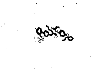 CCCc1nc(CC)n(-c2ccc(OC3(CCC)CCCC3)cc2)c(=O)c1Cc1ccc(-c2ccccc2-c2noc(=O)[nH]2)cc1